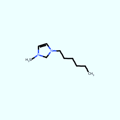 CCCCCCN1C=CN([SiH3])C1